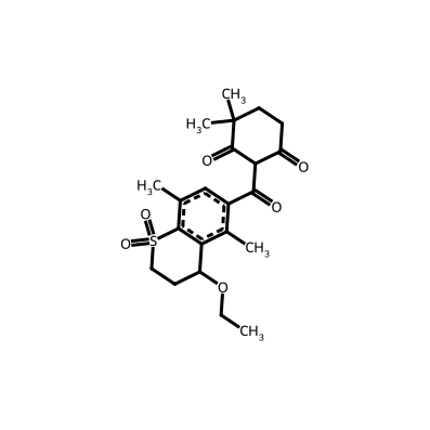 CCOC1CCS(=O)(=O)c2c(C)cc(C(=O)C3C(=O)CCC(C)(C)C3=O)c(C)c21